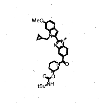 COc1ccc2cc(-c3nc4cc(C(=O)N5CCC[C@@H](OC(=O)NC(C)(C)C)C5)ccc4n3C)n(CC3CC3)c2c1